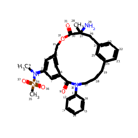 CN(c1cc2cc(c1)C(=O)N(c1ccccc1)CCCc1cccc(c1)CC(C)(N)C(=O)OC2)S(C)(=O)=O